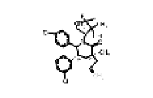 C=CC[C@@]1(C)C[C@H](c2cccc(Cl)c2)C(c2ccc(Cl)cc2)N(C(CC)C(C)(O)C(F)(F)F)C1=O